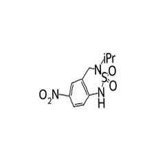 CC(C)N1Cc2cc([N+](=O)[O-])ccc2NS1(=O)=O